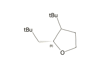 CC(C)(C)C[C@H]1OCCC1C(C)(C)C